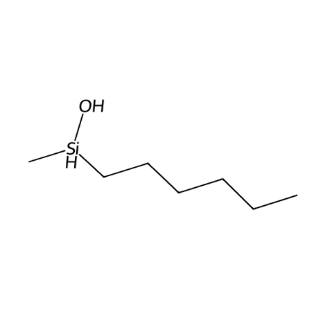 CCCCCC[SiH](C)O